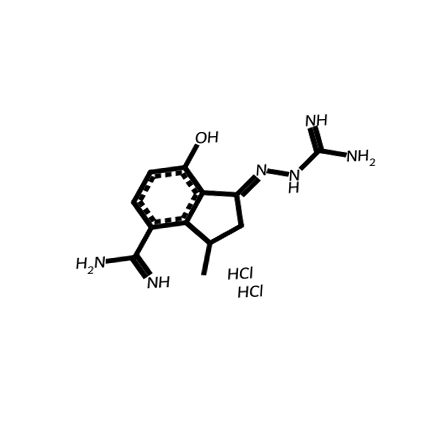 CC1CC(=NNC(=N)N)c2c(O)ccc(C(=N)N)c21.Cl.Cl